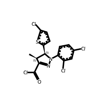 C[C@@H]1C(C(=O)Cl)=NN(c2ccc(Cl)cc2Cl)[C@@H]1c1ccc(Cl)s1